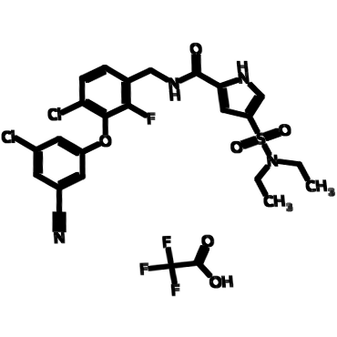 CCN(CC)S(=O)(=O)c1c[nH]c(C(=O)NCc2ccc(Cl)c(Oc3cc(Cl)cc(C#N)c3)c2F)c1.O=C(O)C(F)(F)F